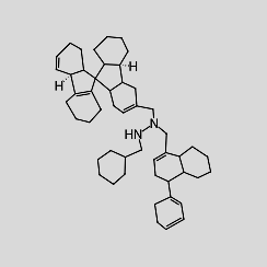 C1=CCCC(C2CC=C(CN(CC3=CCC4C(C3)[C@@H]3CCCCC3C43C4=C(CCCC4)[C@H]4C=CCCC43)NCC3CCCCC3)C3CCCCC23)=C1